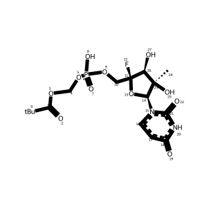 CC(C)(C)C(=O)OCOP(=O)(O)OC[C@@]1(F)O[C@H](n2ccc(=O)[nH]c2=O)[C@](C)(O)[C@@H]1O